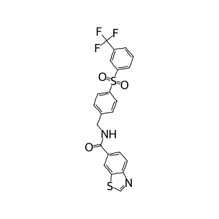 O=C(NCc1ccc(S(=O)(=O)c2cccc(C(F)(F)F)c2)cc1)c1ccc2ncsc2c1